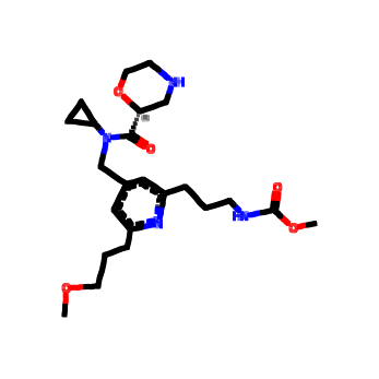 COCCCc1cc(CN(C(=O)[C@H]2CNCCO2)C2CC2)cc(CCCNC(=O)OC)n1